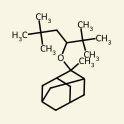 CC(C)(C)CC(OC1(C)C2CC3CC(C2)CC1C3)C(C)(C)C